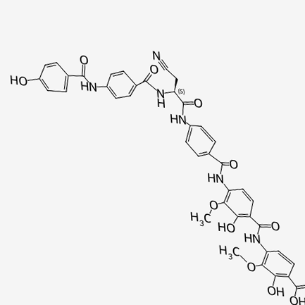 COc1c(NC(=O)c2ccc(NC(=O)c3ccc(NC(=O)[C@H](CC#N)NC(=O)c4ccc(NC(=O)c5ccc(O)cc5)cc4)cc3)c(OC)c2O)ccc(C(=O)O)c1O